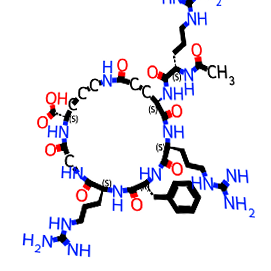 CC(=O)N[C@@H](CCCNC(=N)N)C(=O)N[C@H]1CCC(=O)NCCC[C@@H](C(=O)O)NC(=O)CNC(=O)[C@H](CCCNC(=N)N)NC(=O)[C@@H](Cc2ccccc2)NC(=O)[C@H](CCCNC(=N)N)NC1=O